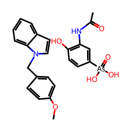 CC(=O)Nc1cc([As](=O)(O)O)ccc1O.COc1ccc(Cn2ccc3ccccc32)cc1